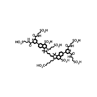 CC1(C)C(/C=C/C=C2/N(CCCCCC(=O)O)c3cc(S(=O)(=O)O)c4cc(-c5cc(C(=O)NCCS(=O)(=O)O)nc(C(=O)NCCS(=O)(=O)O)c5)ccc4c3C2(C)C)=[N+](CCCS(=O)(=O)O)c2cc(S(=O)(=O)O)c3cc(-c4cc(C(=O)NCCS(=O)(=O)O)nc(C(=O)NCCS(=O)(=O)O)c4)ccc3c21